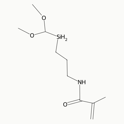 C=C(C)C(=O)NCCC[SiH2]C(OC)OC